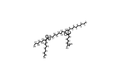 [CH2]CCCCCCCCC(CCCCCCCCCOC(=O)C(CCCCCC)CCCCCCCC)OC(=O)CCCCN(C)C